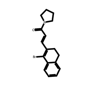 O=C(C=CC1=C(Br)c2ccccc2CC1)N1CCCC1